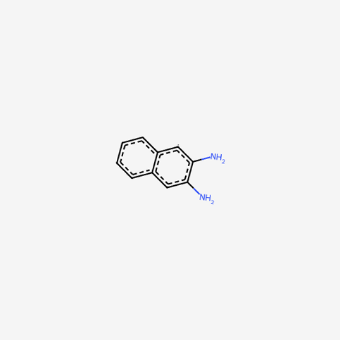 Nc1[c]c2ccccc2cc1N